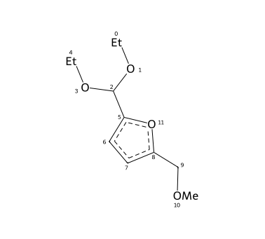 CCOC(OCC)c1ccc(COC)o1